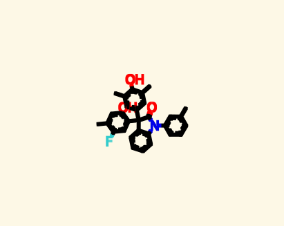 Cc1cccc(N2C(=O)C(c3cc(C)c(O)c(C)c3)(c3cc(F)c(C)cc3O)c3ccccc32)c1